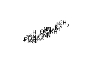 CC1CCN(CCNC(=O)c2ncn([C@H]3CC[C@H](C(=O)Nc4ccc(F)cc4Cl)CC3)c2C(N)=O)CC1